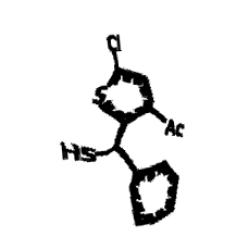 CC(=O)c1cc(Cl)sc1C(S)c1ccccc1